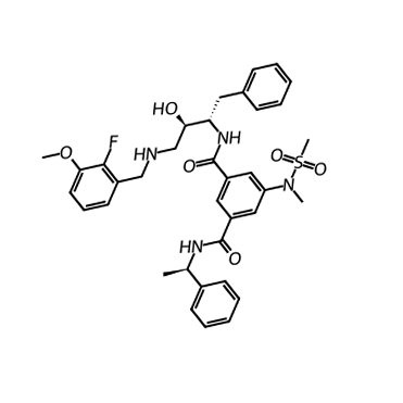 COc1cccc(CNC[C@@H](O)[C@H](Cc2ccccc2)NC(=O)c2cc(C(=O)N[C@H](C)c3ccccc3)cc(N(C)S(C)(=O)=O)c2)c1F